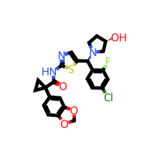 O=C(Nc1ncc([C@H](c2ccc(Cl)cc2F)N2CC[C@H](O)C2)s1)C1(c2ccc3c(c2)OCO3)CC1